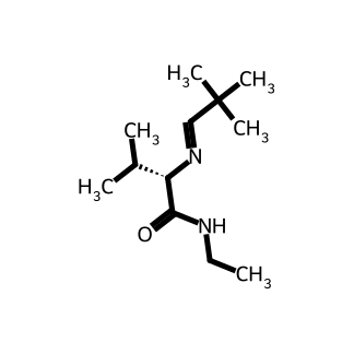 CCNC(=O)[C@@H](N=CC(C)(C)C)C(C)C